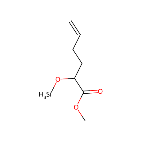 C=CCCC(O[SiH3])C(=O)OC